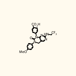 COc1ccc(N2Cc3cnc(NCC(F)(F)F)nc3N(c3ccc(C(=O)O)cc3)C2=O)cc1